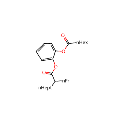 CCCCCCCC(CCC)C(=O)Oc1ccccc1OC(=O)CCCCCC